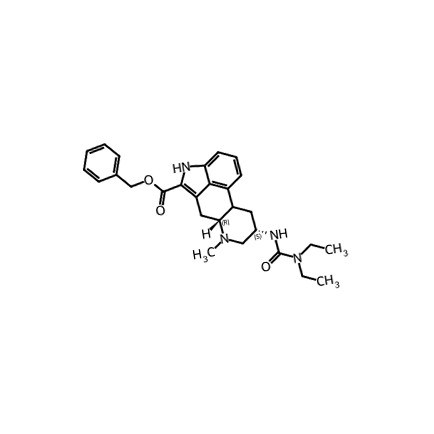 CCN(CC)C(=O)N[C@H]1CC2c3cccc4[nH]c(C(=O)OCc5ccccc5)c(c34)C[C@H]2N(C)C1